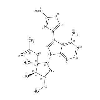 COc1nc(-c2cn([C@@H]3O[C@H](CO)[C@@H](O)[C@@]3(C)OC(=O)C(F)(F)F)c3ncnc(N)c23)cs1